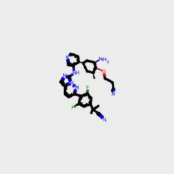 C[C@H]1C[C@@H](c2ccncc2Nc2ncc3ccc(-c4c(F)cc(C(C)(C)C#N)cc4F)nn23)C[C@@H](N)[C@H]1OCCC#N